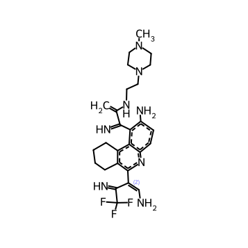 C=C(NCCN1CCN(C)CC1)C(=N)c1c(N)ccc2nc(/C(=C/N)C(=N)C(F)(F)F)c3c(c12)CCCC3